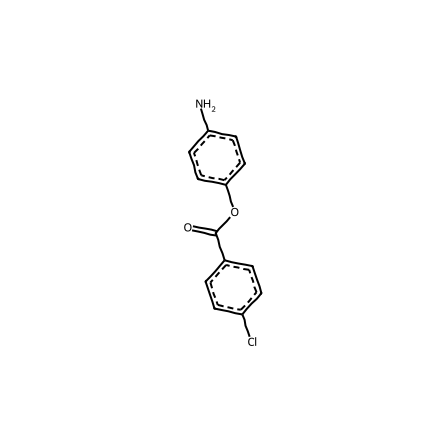 Nc1ccc(OC(=O)c2ccc(Cl)cc2)cc1